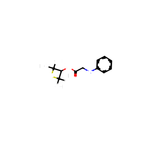 CC1(C)SC(C)(C)C1OC(=O)CNc1ccccc1